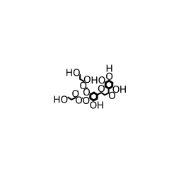 O=C(CCO)OCOc1cc(C2CC(=O)c3c(O)cc(O)c(O)c3O2)cc(O)c1OCOC(=O)CCO